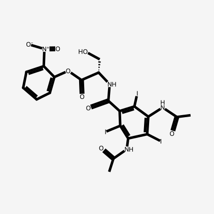 CC(=O)Nc1c(I)c(NC(C)=O)c(I)c(C(=O)N[C@@H](CO)C(=O)Oc2ccccc2[N+](=O)[O-])c1I